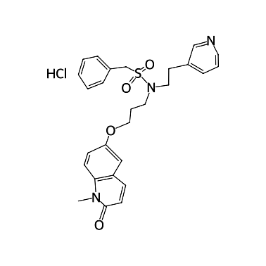 Cl.Cn1c(=O)ccc2cc(OCCCN(CCc3cccnc3)S(=O)(=O)Cc3ccccc3)ccc21